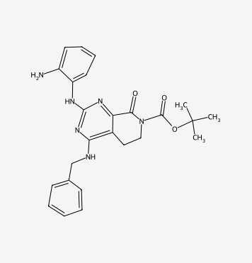 CC(C)(C)OC(=O)N1CCc2c(NCc3ccccc3)nc(Nc3ccccc3N)nc2C1=O